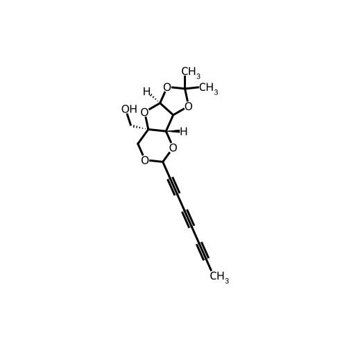 CC#CC#CC#CC1OC[C@@]2(CO)O[C@H]3OC(C)(C)OC3[C@@H]2O1